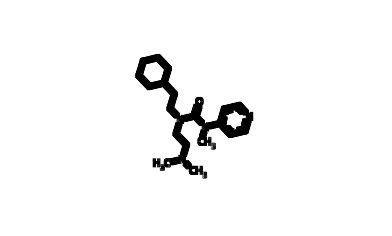 CN(C)CCN(CCC1CCCCC1)C(=O)N(C)c1ccncc1